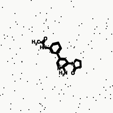 CC(=O)Nc1cccc(-c2cnc(N)c(N3CCCC3=O)c2)c1